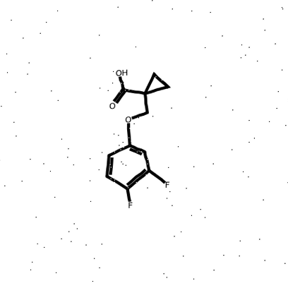 O=C(O)C1(COc2ccc(F)c(F)c2)CC1